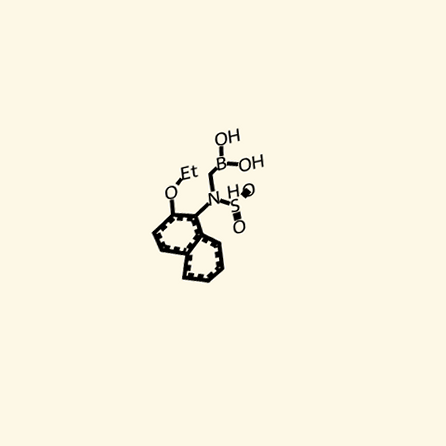 CCOc1ccc2ccccc2c1N(CB(O)O)[SH](=O)=O